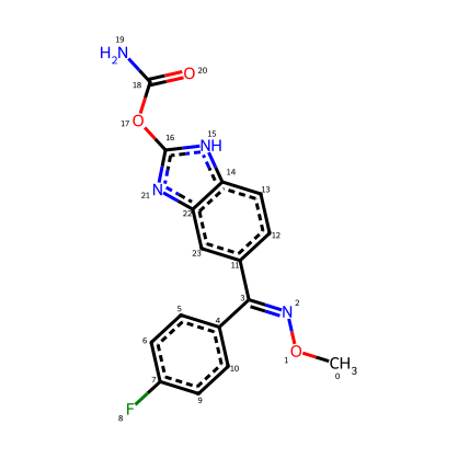 CON=C(c1ccc(F)cc1)c1ccc2[nH]c(OC(N)=O)nc2c1